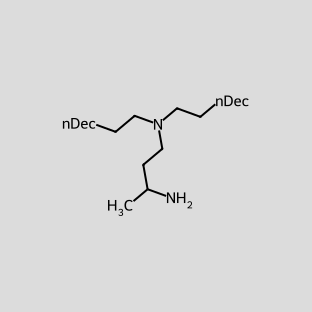 CCCCCCCCCCCCN(CCCCCCCCCCCC)CCC(C)N